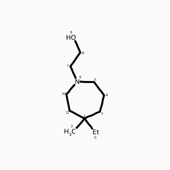 CCC1(C)CCCN(CCO)CC1